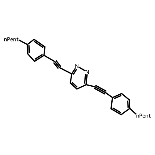 CCCCCc1ccc(C#Cc2ccc(C#Cc3ccc(CCCCC)cc3)nn2)cc1